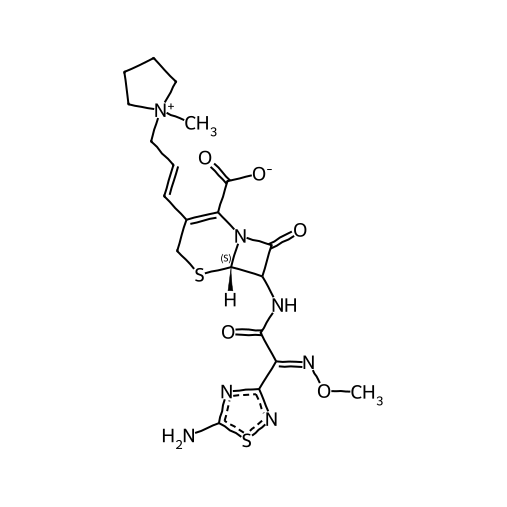 CON=C(C(=O)NC1C(=O)N2C(C(=O)[O-])=C(C=CC[N+]3(C)CCCC3)CS[C@@H]12)c1nsc(N)n1